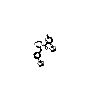 Cc1ccc(-n2nccn2)c(C(=O)N2CCOCC2Cc2cccc(-n3nccn3)c2)n1